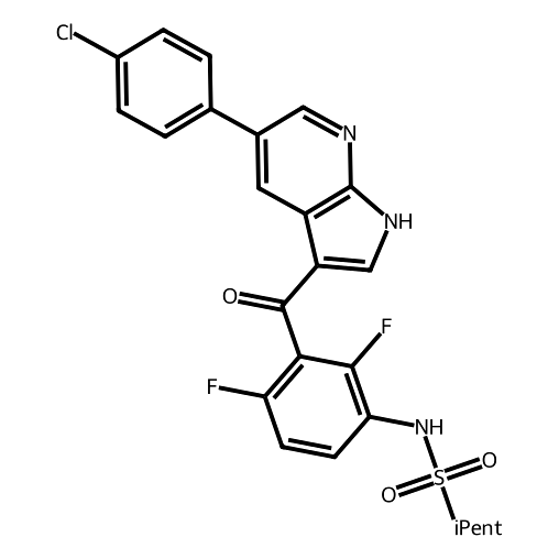 CCCC(C)S(=O)(=O)Nc1ccc(F)c(C(=O)c2c[nH]c3ncc(-c4ccc(Cl)cc4)cc23)c1F